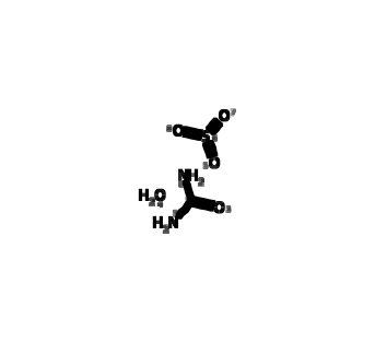 NC(N)=O.O.O=S(=O)=O